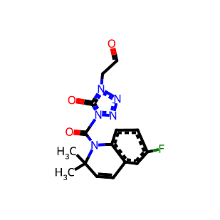 CC1(C)C=Cc2cc(F)ccc2N1C(=O)n1nnn(CC=O)c1=O